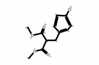 COC(=O)C(Cc1ccc(Cl)cc1)C(=O)OC